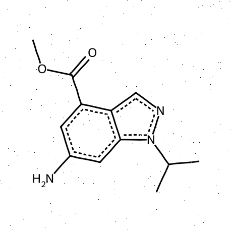 COC(=O)c1cc(N)cc2c1cnn2C(C)C